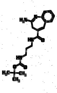 CC(C)(C)OC(=O)NCCCNC(=O)C1=Cc2ccccc2N=C(N)C1